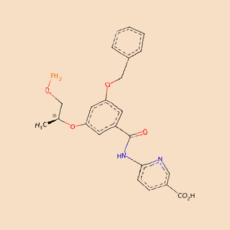 C[C@@H](COP)Oc1cc(OCc2ccccc2)cc(C(=O)Nc2ccc(C(=O)O)cn2)c1